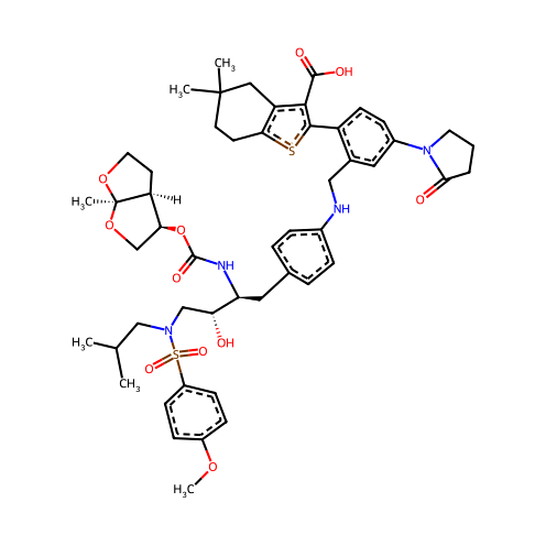 COc1ccc(S(=O)(=O)N(CC(C)C)C[C@@H](O)[C@H](Cc2ccc(NCc3cc(N4CCCC4=O)ccc3-c3sc4c(c3C(=O)O)CC(C)(C)CC4)cc2)NC(=O)O[C@H]2CO[C@@]3(C)OCC[C@@H]23)cc1